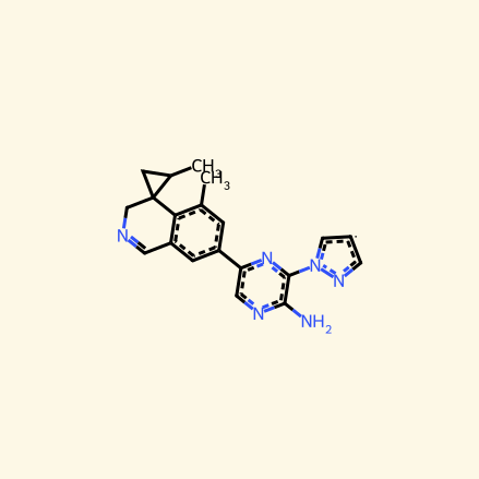 Cc1cc(-c2cnc(N)c(-n3c[c]cn3)n2)cc2c1C1(CN=C2)CC1C